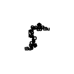 CC(C)(C)OC(=O)N1CCC[C@H]1C(=O)OCC(=O)c1cnc(-c2ncc(C(=O)COC(=O)[C@@H]3CCCN3C(=O)OC(C)(C)C)s2)s1